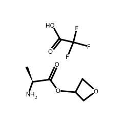 C[C@H](N)C(=O)OC1COC1.O=C(O)C(F)(F)F